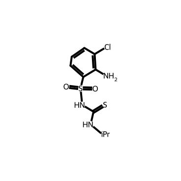 CC(C)NC(=S)NS(=O)(=O)c1cccc(Cl)c1N